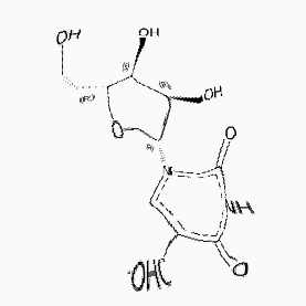 O=[C]c1cn([C@@H]2O[C@H](CO)[C@@H](O)[C@H]2O)c(=O)[nH]c1=O